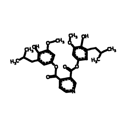 COc1cc(OC(=O)c2ccncc2C(=O)Oc2cc(CC(C)C)c(O)c(OC)c2)cc(CC(C)C)c1O